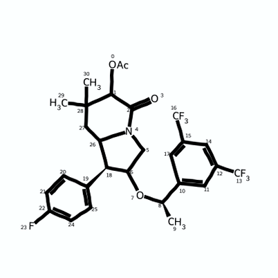 CC(=O)OC1C(=O)N2CC(O[C@H](C)c3cc(C(F)(F)F)cc(C(F)(F)F)c3)[C@@H](c3ccc(F)cc3)C2CC1(C)C